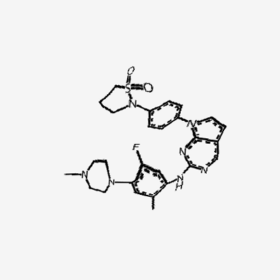 Cc1cc(N2CCN(C)CC2)c(F)cc1Nc1ncc2ccn(-c3ccc(N4CCCS4(=O)=O)cc3)c2n1